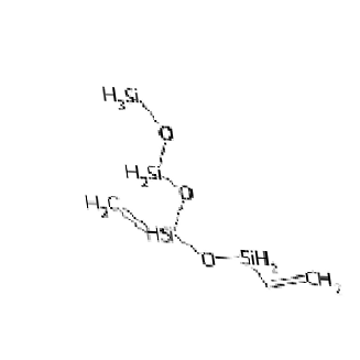 C=C[SiH2]O[SiH](C=C)O[SiH2]O[SiH3]